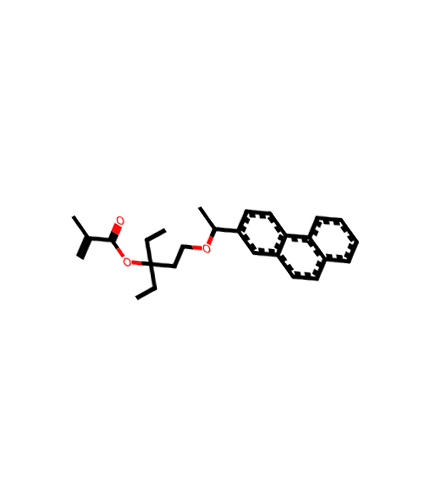 C=C(C)C(=O)OC(CC)(CC)CCOC(C)c1ccc2c(ccc3ccccc32)c1